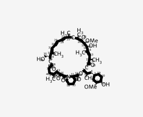 CO[C@@H]1C[C@H](C[C@@H](C)[C@@H]2CC(=O)[C@H](C)/C=C(\C)[C@@H](O)[C@@H](OC)C(=O)[C@H](C)C[C@H](C)/C=C/C=C/C=C(\C)[C@@H](CO)C[C@@H]3CC[C@@H](C)[C@@](O)(O3)C(=O)C(=O)N3CCCC[C@H]3C(=O)O2)CC[C@H]1O